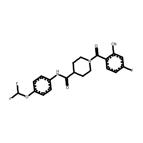 N#Cc1cc(F)ccc1C(=O)N1CCC(C(=O)Nc2ccc(OC(F)F)cc2)CC1